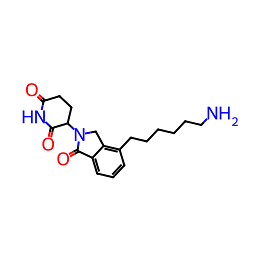 NCCCCCCc1cccc2c1CN(C1CCC(=O)NC1=O)C2=O